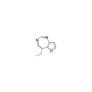 CCC1=C=NC=Nc2ccoc21